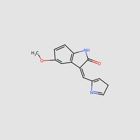 COc1ccc2c(c1)/C(=C/C1=CCC=N1)C(=O)N2